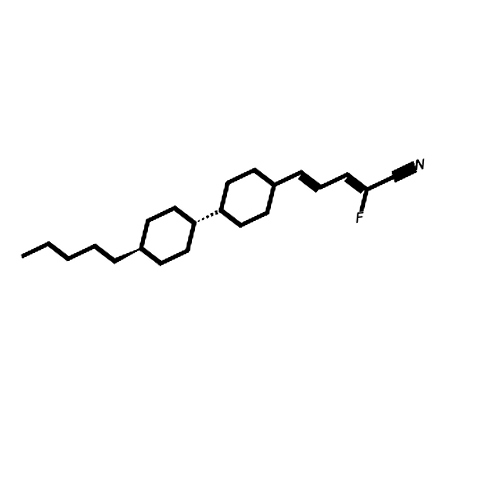 CCCCC[C@H]1CC[C@H](C2CCC(C=CC=C(F)C#N)CC2)CC1